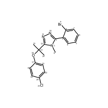 Cn1c(-c2ccccc2Br)nnc1C(C)(C)Oc1ccc(Cl)cc1